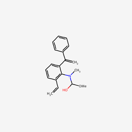 C=Cc1cccc(C(=C)c2ccccc2)c1N(C)C(O)OC